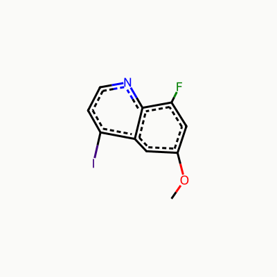 COc1cc(F)c2nccc(I)c2c1